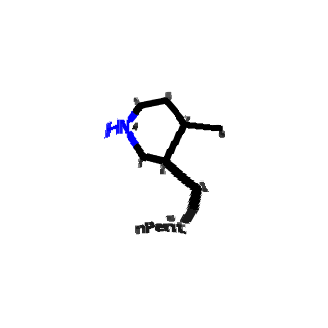 CCCCCCC1CNCCC1C